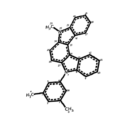 Cc1cc(C)cc(-n2c3ccccc3c3c4c5ccccc5n(C)c4ccc32)c1